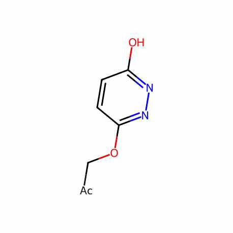 CC(=O)COc1ccc(O)nn1